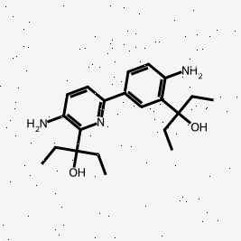 CCC(O)(CC)c1cc(-c2ccc(N)c(C(O)(CC)CC)n2)ccc1N